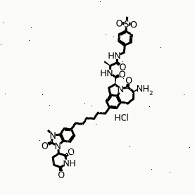 C[C@H](NC(=O)[C@@H]1Cc2cc(CCCCCCc3ccc4c(c3)n(C)c(=O)n4C3CCC(=O)NC3=O)cc3c2N1C(=O)[C@@H](N)CC3)C(=O)NCc1ccc(S(C)(=O)=O)cc1.Cl